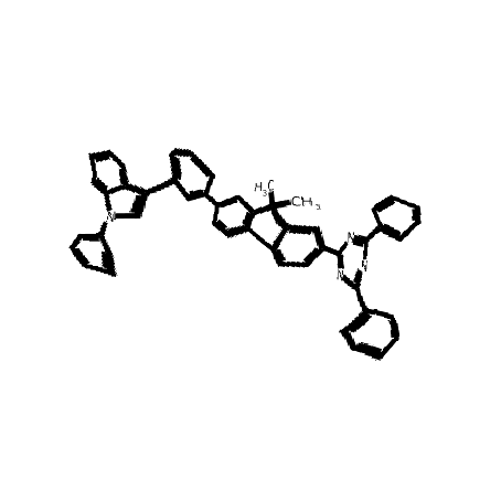 CC1(C)c2cc(-c3cccc(-c4cn(-c5ccccc5)c5ccccc45)c3)ccc2-c2ccc(-c3nc(-c4ccccc4)nc(-c4ccccc4)n3)cc21